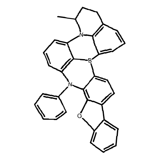 CC1CCc2cccc3c2N1c1cccc2c1B3c1ccc3c(oc4ccccc43)c1N2c1ccccc1